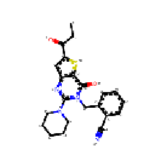 CCC(=O)c1cc2nc(N3CCCCC3)n(Cc3ccccc3C#N)c(=O)c2s1